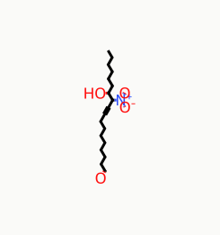 CCCCCCC(O)C(C#CCCCCCCCC=O)[N+](=O)[O-]